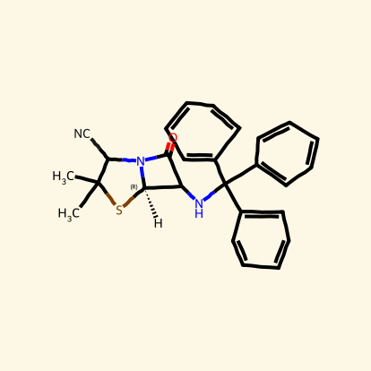 CC1(C)S[C@@H]2C(NC(c3ccccc3)(c3ccccc3)c3ccccc3)C(=O)N2C1C#N